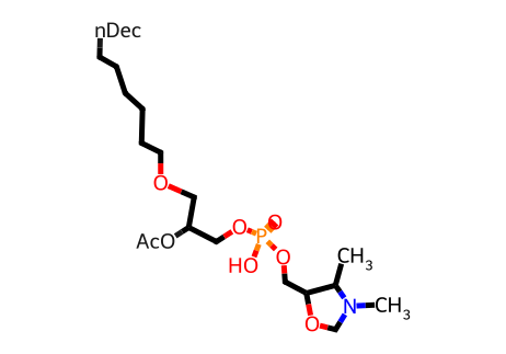 CCCCCCCCCCCCCCCCOCC(COP(=O)(O)OCC1OCN(C)C1C)OC(C)=O